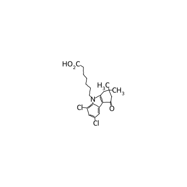 CC1(C)CC(=O)c2c(n(CCCCCCC(=O)O)c3c(Cl)cc(Cl)cc23)C1